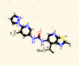 CO[C@H](C)c1c(NC(=O)Nc2cnc(-n3cccn3)c(C(F)(F)F)c2)cnc2sc(C)nc12